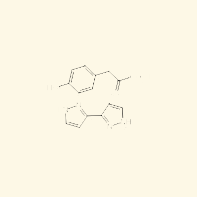 O=C(O)C(=O)Cc1ccc(O)cc1.c1cc(-c2cc[nH]n2)n[nH]1